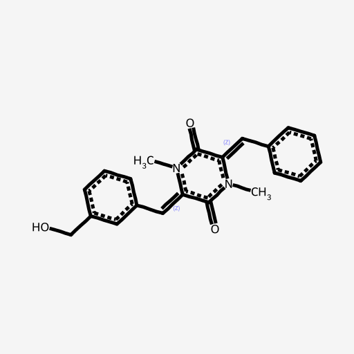 Cn1c(=O)/c(=C/c2cccc(CO)c2)n(C)c(=O)/c1=C/c1ccccc1